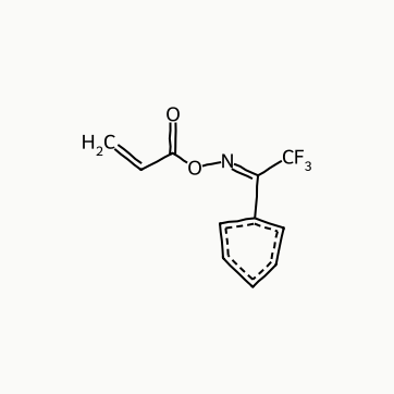 C=CC(=O)O/N=C(\c1ccccc1)C(F)(F)F